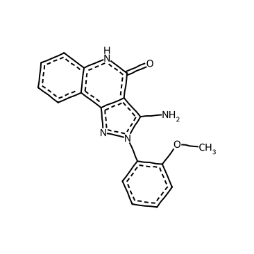 COc1ccccc1-n1nc2c(c1N)c(=O)[nH]c1ccccc12